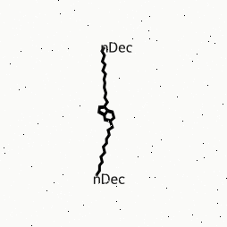 CCCCCCCCCCCCCCCCCCCCCCC1=CC2=CC=C(CCCCCCCCCCCCCCCCCCCCCC)C2=CC1